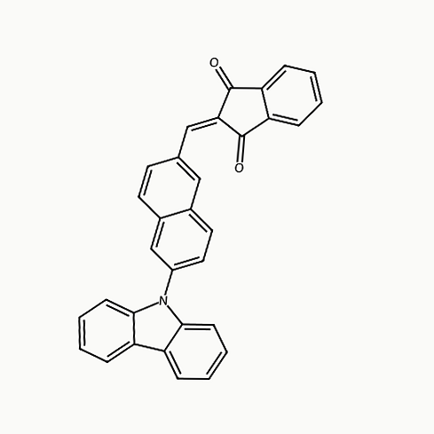 O=C1C(=Cc2ccc3cc(-n4c5ccccc5c5ccccc54)ccc3c2)C(=O)c2ccccc21